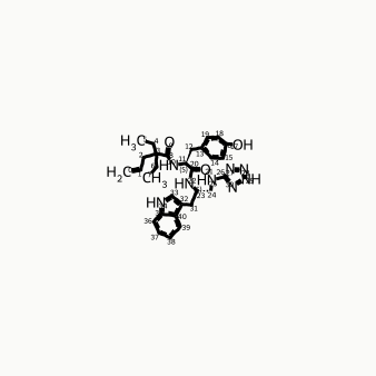 C=CCC(CC)(CC)C(=O)N[C@@H](Cc1ccc(O)cc1)C(=O)N[C@H](CNc1nn[nH]n1)Cc1c[nH]c2ccccc12